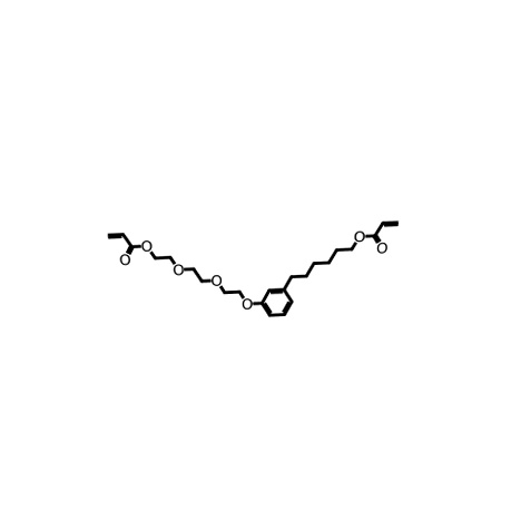 C=CC(=O)OCCCCCCc1cccc(OCCOCCOCCOC(=O)C=C)c1